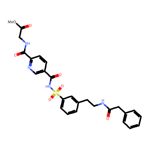 COC(=O)CNC(=O)c1ccc(C(=O)NS(=O)(=O)c2cccc(CCNC(=O)Cc3ccccc3)c2)cn1